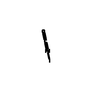 O=[C]=[Pd][I]